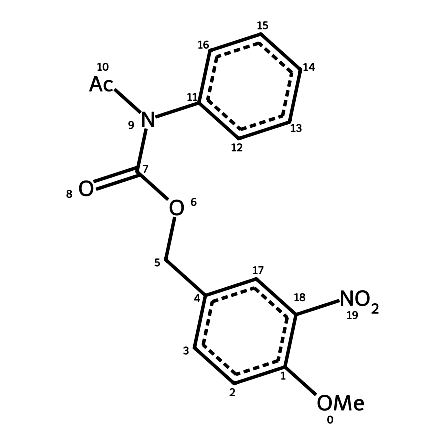 COc1ccc(COC(=O)N(C(C)=O)c2ccccc2)cc1[N+](=O)[O-]